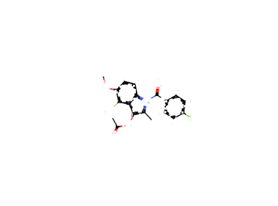 COc1ccc2c(c1F)c(OC(C)=O)c(C)n2C(=O)c1ccc(F)cc1